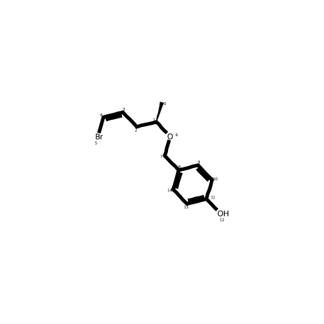 C[C@H](C/C=C\Br)OCc1ccc(O)cc1